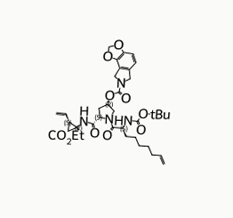 C=CCCCCC[C@H](NC(=O)OC(C)(C)C)C(=O)N1C[C@H](OC(=O)N2Cc3ccc4c(c3C2)OCO4)C[C@H]1C(=O)N[C@]1(C(=O)OCC)C[C@H]1C=C